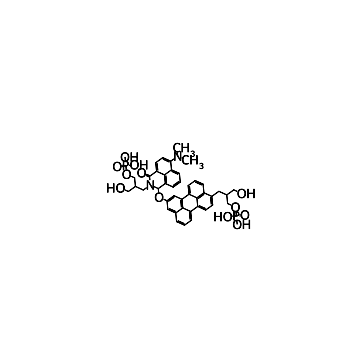 CN(C)c1ccc2c3c(cccc13)C(Oc1cc3cccc4c5ccc(CC(CO)COP(=O)(O)O)c6cccc(c(c1)c34)c65)N(CC(CO)COP(=O)(O)O)C2=O